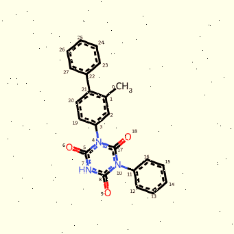 Cc1cc(-n2c(=O)[nH]c(=O)n(-c3ccccc3)c2=O)ccc1-c1ccccc1